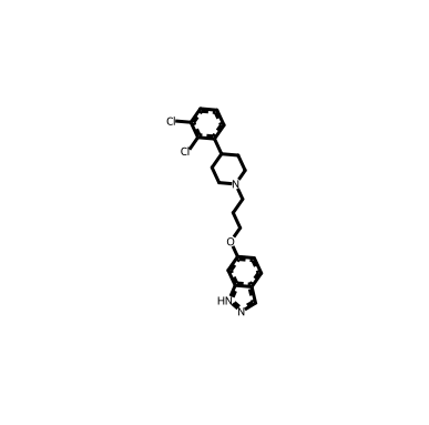 Clc1cccc(C2CCN(CCCOc3ccc4cn[nH]c4c3)CC2)c1Cl